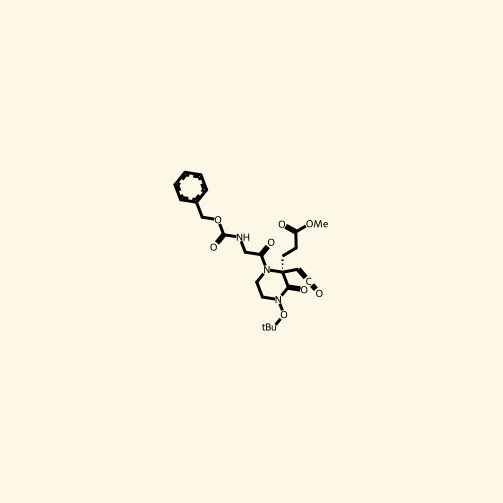 COC(=O)CC[C@]1(C=C=O)C(=O)N(OC(C)(C)C)CCN1C(=O)CNC(=O)OCc1ccccc1